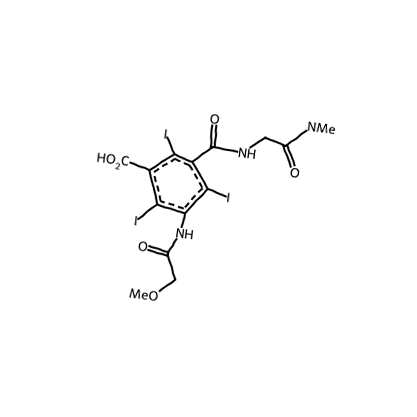 CNC(=O)CNC(=O)c1c(I)c(NC(=O)COC)c(I)c(C(=O)O)c1I